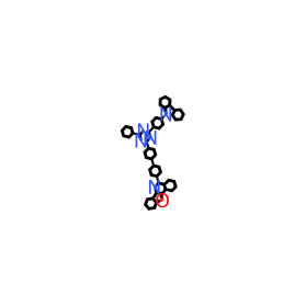 c1ccc(-c2nc(-c3ccc(-c4ccc(-c5nc6c7ccccc7oc6c6ccccc56)cc4)cc3)nc(-c3ccc(-n4c5ccccc5c5ccccc54)cc3)n2)cc1